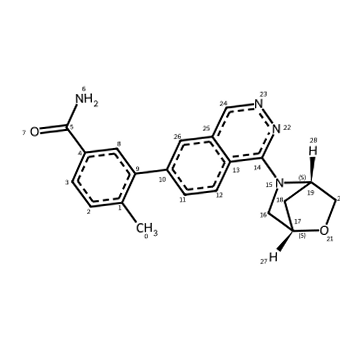 Cc1ccc(C(N)=O)cc1-c1ccc2c(N3C[C@@H]4C[C@H]3CO4)nncc2c1